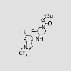 CC(C)(C)OC(=O)N1CCC(Nc2cc(I)cc3c2ccn3CC(F)(F)F)C(F)C1